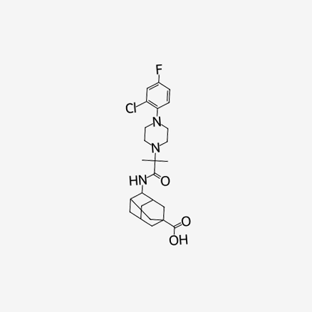 CC(C)(C(=O)NC1C2CC3CC1CC(C(=O)O)(C3)C2)N1CCN(c2ccc(F)cc2Cl)CC1